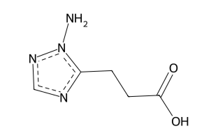 Nn1ncnc1CCC(=O)O